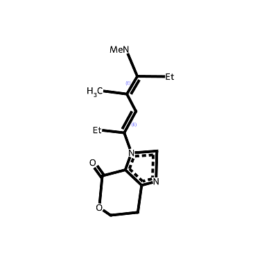 CC/C(=C\C(C)=C(/CC)NC)n1cnc2c1C(=O)OCC2